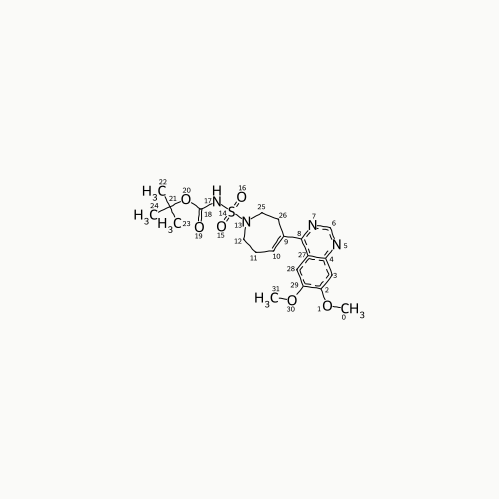 COc1cc2ncnc(C3=CCCN(S(=O)(=O)NC(=O)OC(C)(C)C)CC3)c2cc1OC